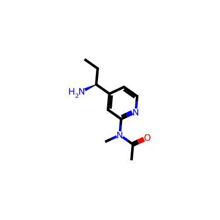 CC[C@H](N)c1ccnc(N(C)C(C)=O)c1